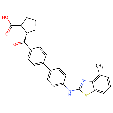 Cc1cccc2sc(Nc3ccc(-c4ccc(C(=O)[C@@H]5CCCC5C(=O)O)cc4)cc3)nc12